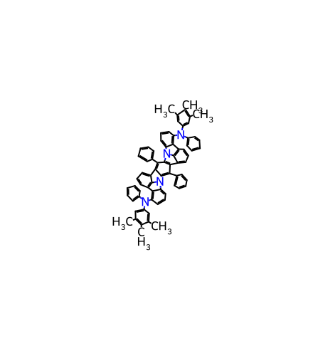 Cc1cc(N(c2ccccc2)c2cccc3c2c2cccc4c5c(-c6ccccc6)c6c(c(-c7ccccc7)c5n3c24)c2cccc3c4c(N(c5ccccc5)c5cc(C)c(C)c(C)c5)cccc4n6c32)cc(C)c1C